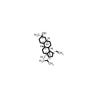 CC[C@@H]1C[C@H](C(C)C)[C@@]2(C)CC[C@H]3[C@@H](CC[C@@H]4C[C@](C)(O)CC[C@@H]43)[C@H]12